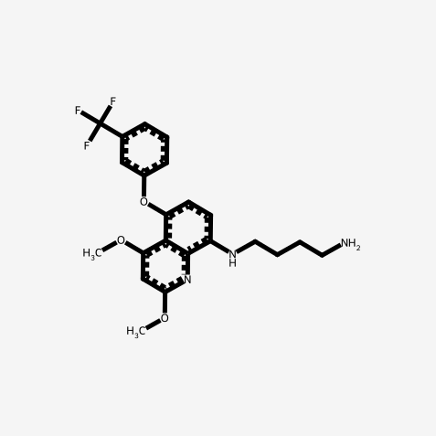 COc1cc(OC)c2c(Oc3cccc(C(F)(F)F)c3)ccc(NCCCCN)c2n1